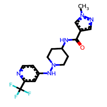 Cn1cc(C(=O)NC2CCN(Nc3ccnc(C(F)(F)F)c3)CC2)cn1